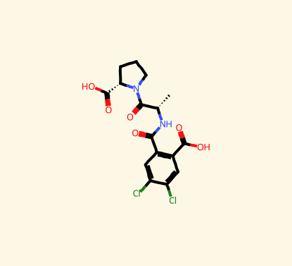 C[C@H](NC(=O)c1cc(Cl)c(Cl)cc1C(=O)O)C(=O)N1CCC[C@H]1C(=O)O